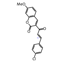 COc1ccc2cc(C(=O)/C=C/c3ccc(Cl)cc3)c(=O)oc2c1